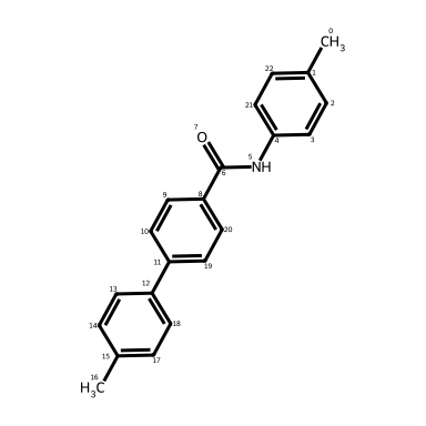 Cc1ccc(NC(=O)c2ccc(-c3ccc(C)cc3)cc2)cc1